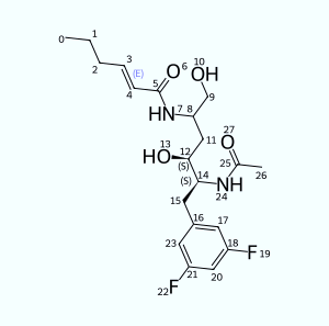 CCC/C=C/C(=O)NC(CO)C[C@H](O)[C@H](Cc1cc(F)cc(F)c1)NC(C)=O